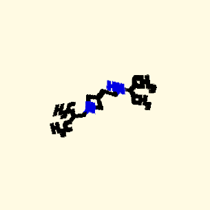 CC(C)CN1CC(CCNC(C)C)C1